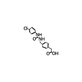 O=C(O)Cc1ccc(CNC(=O)Nc2ccc(Cl)cc2)cc1